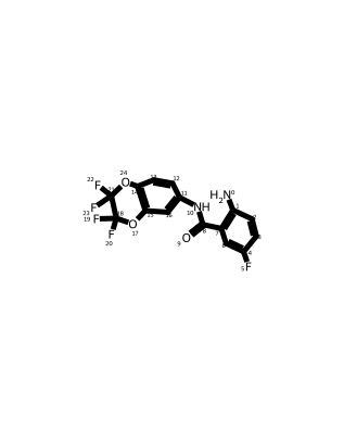 Nc1ccc(F)cc1C(=O)Nc1ccc2c(c1)OC(F)(F)C(F)(F)O2